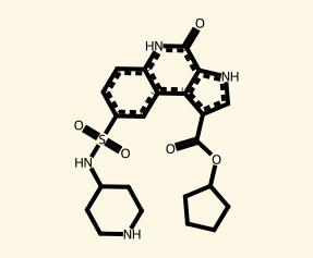 O=C(OC1CCCC1)c1c[nH]c2c(=O)[nH]c3ccc(S(=O)(=O)NC4CCNCC4)cc3c12